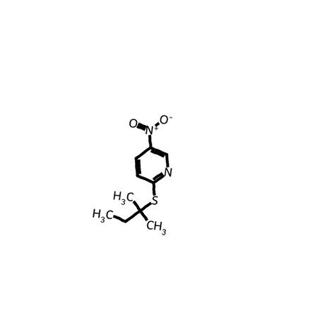 CCC(C)(C)Sc1ccc([N+](=O)[O-])cn1